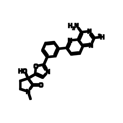 [2H]c1nc(N)c2nc(-c3cccc(-c4ncc(C5(O)CCN(C)C5=O)o4)c3)ccc2n1